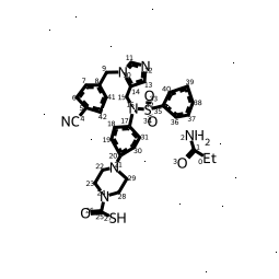 CCC(N)=O.N#Cc1ccc(Cn2cncc2CN(c2ccc(N3CCN(C(=O)S)CC3)cc2)S(=O)(=O)c2ccccc2)cc1